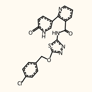 O=C(Nc1nnc(OCc2ccc(Cl)cc2)s1)c1cccnc1-c1ccc(=O)[nH]c1